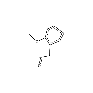 COc1ccccc1C[C]=O